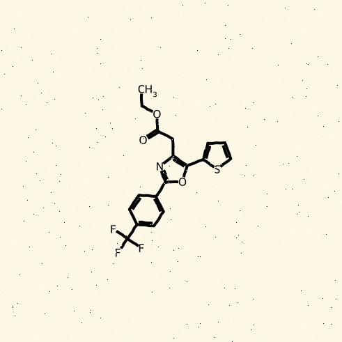 CCOC(=O)Cc1nc(-c2ccc(C(F)(F)F)cc2)oc1-c1cccs1